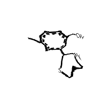 Cc1ccc(O)c(C2NCCS2)c1